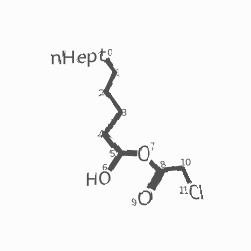 CCCCCCCCCCCC(O)OC(=O)CCl